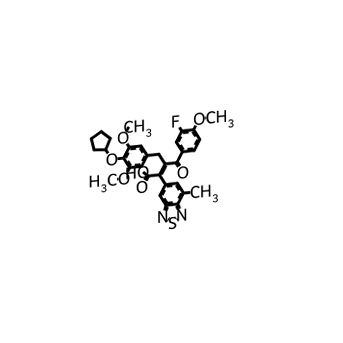 COc1ccc(C(=O)/C(Cc2cc(OC)c(OC3CCCC3)c(OC)c2)=C(/C(=O)O)c2cc(C)c3nsnc3c2)cc1F